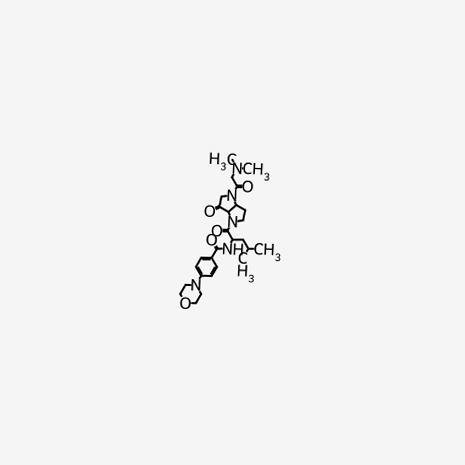 CC(C)CC(NC(=O)c1ccc(N2CCOCC2)cc1)C(=O)N1CCC2C1C(=O)CN2C(=O)CN(C)C